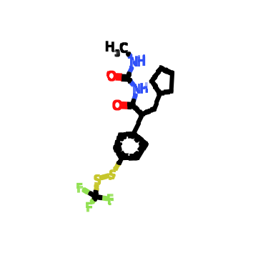 CNC(=O)NC(=O)C(CC1CCCC1)c1ccc(SSC(F)(F)F)cc1